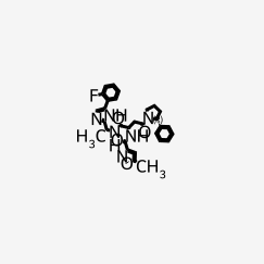 Cc1cc(C(=O)NC(CC(=O)N2CCC[C@@H]2c2ccccc2)C(=O)NC(C)c2ncc(-c3ccccc3F)[nH]2)no1